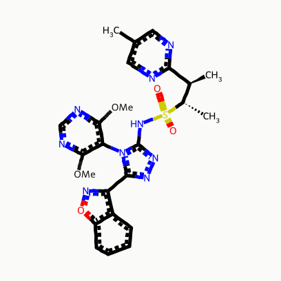 COc1ncnc(OC)c1-n1c(NS(=O)(=O)[C@@H](C)[C@H](C)c2ncc(C)cn2)nnc1-c1noc2ccccc12